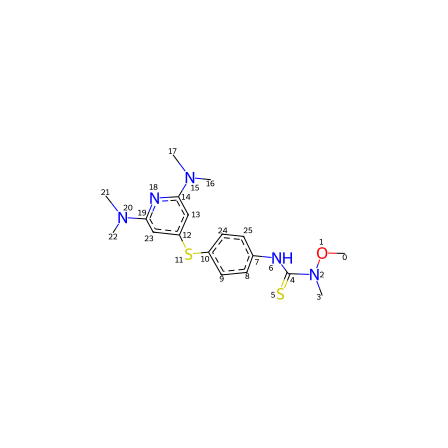 CON(C)C(=S)Nc1ccc(Sc2cc(N(C)C)nc(N(C)C)c2)cc1